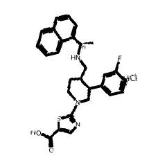 C[C@@H](NCC1CCN(c2ncc(C(=O)O)s2)CC1c1cccc(F)c1)c1cccc2ccccc12.Cl